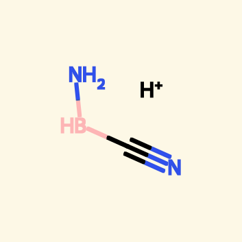 N#CBN.[H+]